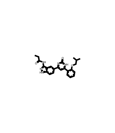 CCC(=O)Nc1n[nH]c2ccc(-c3cc(-c4ccccc4OCC(C)C)[nH]c(=O)n3)cc12